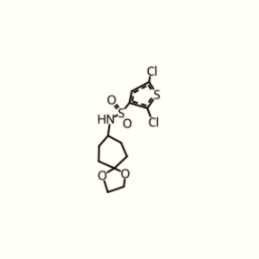 O=S(=O)(NC1CCC2(CC1)OCCO2)c1cc(Cl)sc1Cl